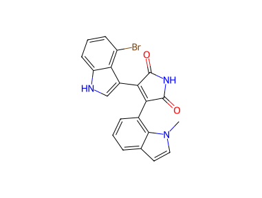 Cn1ccc2cccc(C3=C(c4c[nH]c5cccc(Br)c45)C(=O)NC3=O)c21